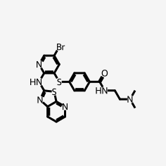 CN(C)CCNC(=O)c1ccc(Sc2cc(Br)cnc2Nc2nc3cccnc3s2)cc1